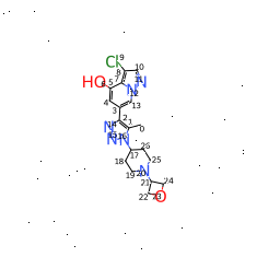 Cc1c(-c2cc(O)c3c(Cl)cnn3c2)nnn1C1CCN(C2COC2)CC1